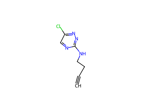 C#CCCNc1ncc(Cl)nn1